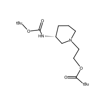 CC(C)(C)OC(=O)N[C@@H]1CCCN(CCOC(=O)C(C)(C)C)C1